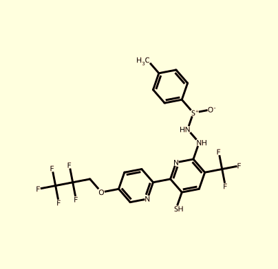 Cc1ccc([S+]([O-])NNc2nc(-c3ccc(OCC(F)(F)C(F)(F)F)cn3)c(S)cc2C(F)(F)F)cc1